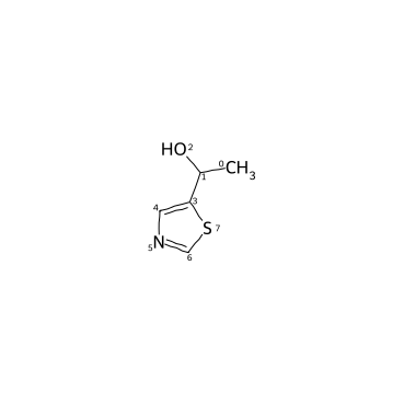 CC(O)c1cncs1